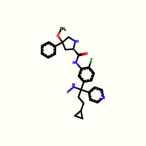 CO[C@@]1(c2ccccc2)CN[C@@H](C(=O)Nc2cc(C(CCC3CC3)(NI)c3ccncc3)ccc2F)C1